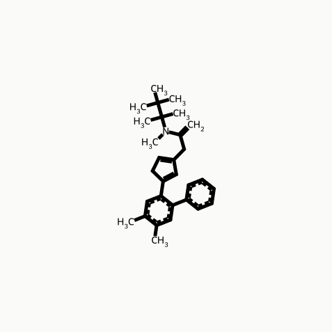 C=C(CC1=CCC(c2cc(C)c(C)cc2-c2ccccc2)=C1)N(C)C(C)(C)C(C)(C)C